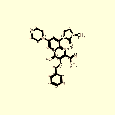 CN1CCN(c2cc(N3CCOCC3)cn3c(=O)c(OCc4ccccc4)c(C(N)=O)nc23)C1=O